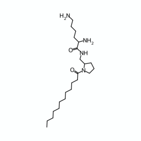 CCCCCCCCCCCC(=O)N1CCCC1CNC(=O)C(N)CCCCN